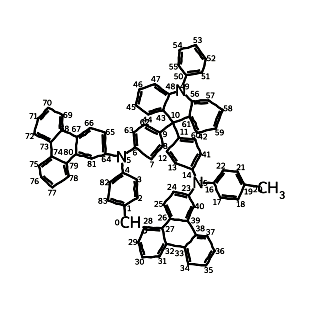 Cc1ccc(N(c2ccc(C3(c4ccc(N(c5ccc(C)cc5)c5ccc6c7ccccc7c7ccccc7c6c5)cc4)c4ccccc4N(c4ccccc4)c4ccccc43)cc2)c2ccc3c4ccccc4c4ccccc4c3c2)cc1